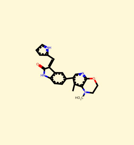 Cc1c(-c2ccc3c(c2)C(=Cc2ccc[nH]2)C(=O)N3)cnc2c1N(C(=O)O)CCO2